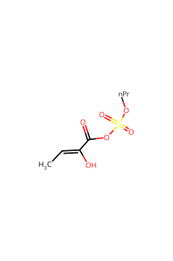 CC=C(O)C(=O)OS(=O)(=O)OCCC